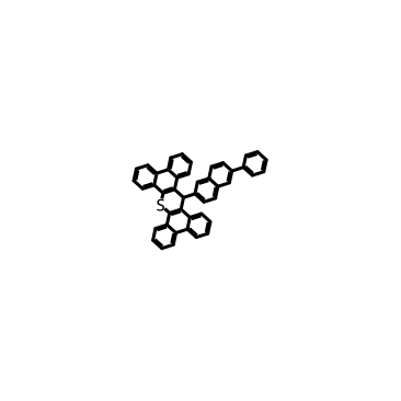 c1ccc(-c2ccc3cc(C4c5c(c6ccccc6c6ccccc56)Sc5c4c4ccccc4c4ccccc54)ccc3c2)cc1